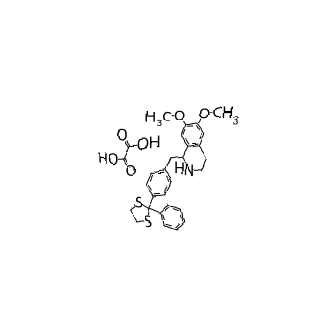 COc1cc2c(cc1OC)C(Cc1ccc(C3(c4ccccc4)SCCS3)cc1)NCC2.O=C(O)C(=O)O